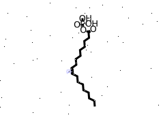 CCCCCCCC/C=C\CCCCCCCC(=O)OP(=O)(O)O